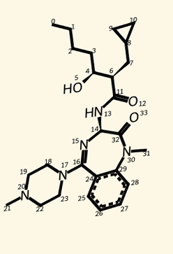 CCCC[C@H](O)[C@@H](CC1CC1)C(=O)N[C@@H]1N=C(N2CCN(C)CC2)c2ccccc2N(C)C1=O